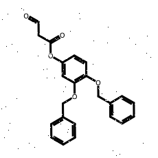 O=CCC(=O)Oc1ccc(OCc2ccccc2)c(OCc2ccccc2)c1